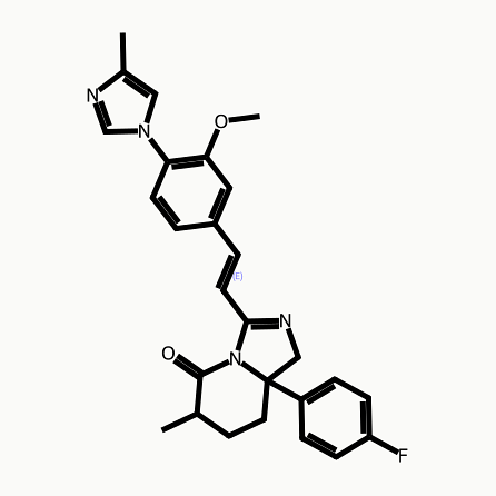 COc1cc(/C=C/C2=NCC3(c4ccc(F)cc4)CCC(C)C(=O)N23)ccc1-n1cnc(C)c1